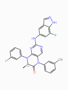 C[C@@H]1C(=O)N(c2cccc(C#N)c2)c2cnc(Nc3cc(F)c4[nH]ncc4c3)nc2N1c1cccc(F)c1